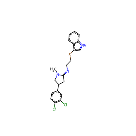 CN1CC(c2ccc(Cl)c(Cl)c2)CC1=NCCSc1c[nH]c2ccccc12